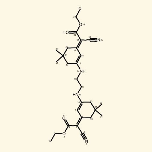 CCOC(=O)/C(C#N)=C1\C=C(NCCNC2=C/C(=C(\C#N)C(=O)OCC)CC(C)(C)C2)CC(C)(C)C1